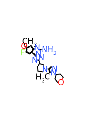 COc1cc2nc(N)n3nc(C4CCCN(c5cnn(C6CCOCC6)c5C)C4)nc3c2cc1F